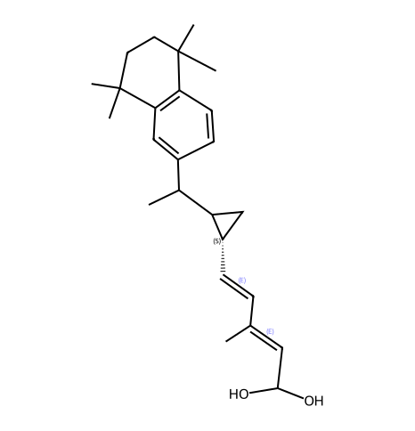 CC(/C=C/[C@H]1CC1C(C)c1ccc2c(c1)C(C)(C)CCC2(C)C)=C\C(O)O